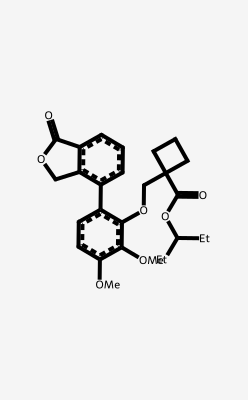 CCC(CC)OC(=O)C1(COc2c(-c3cccc4c3COC4=O)ccc(OC)c2OC)CCC1